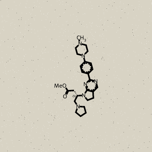 COC(=O)C[C@@H](CN1CCCC1)N1CCc2cnc(-c3ccc(N4CCN(C)CC4)cc3)nc21